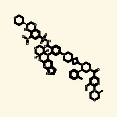 COc1cc(C(=O)N2CCN(C3CC4(CCN(c5ccc(C(=O)NS(=O)(=O)c6cc7c(c([N+](=O)[O-])c6)N[C@H](C6CCOCC6)CO7)c(N6c7cc8cc[nH]c8nc7O[C@H]7COCC[C@@H]76)c5)CC4)C3)[C@H](c3ccccc3C)C2)cnc1N1CCOC[C@@H]1C